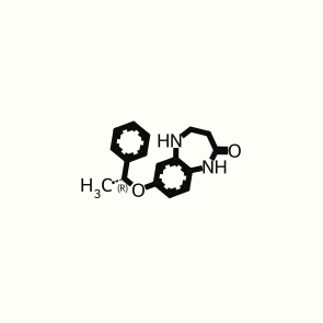 C[C@@H](Oc1ccc2c(c1)NCCC(=O)N2)c1ccccc1